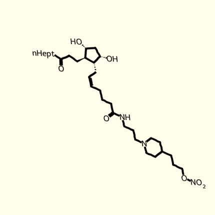 CCCCCCCC(=O)CC[C@@H]1[C@@H](C/C=C\CCCC(=O)NCCCN2CCC(CCCO[N+](=O)[O-])CC2)[C@@H](O)C[C@H]1O